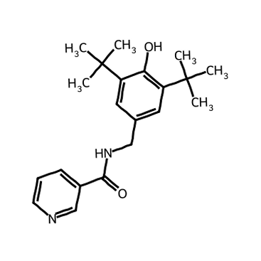 CC(C)(C)c1cc(CNC(=O)c2cccnc2)cc(C(C)(C)C)c1O